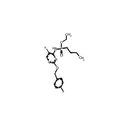 CCCCP(=O)(Nc1nc(OCc2ccc(F)cc2)ncc1F)OCC